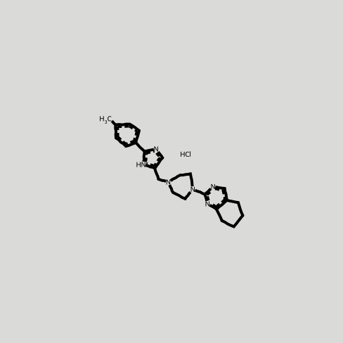 Cc1ccc(-c2ncc(CN3CCN(c4ncc5c(n4)CCCC5)CC3)[nH]2)cc1.Cl